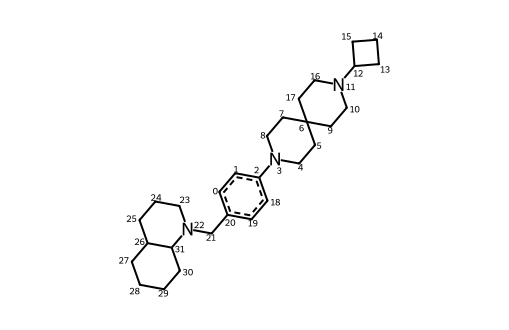 c1cc(N2CCC3(CC2)CCN(C2CCC2)CC3)ccc1CN1CCCC2CCCCC21